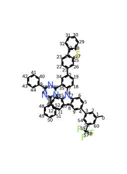 Cc1cc(-c2ccc3c(c2)c2ccccc2n3-c2ccc(-c3ccc4c(c3)sc3ccccc34)cc2-c2nc(-c3ccccc3)nc(-c3ccccc3)n2)cc(C(F)(F)F)c1